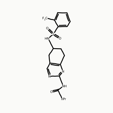 CCCC(=O)Nc1ncc2c(n1)CCC(NS(=O)(=O)c1ccccc1C(F)(F)F)C2